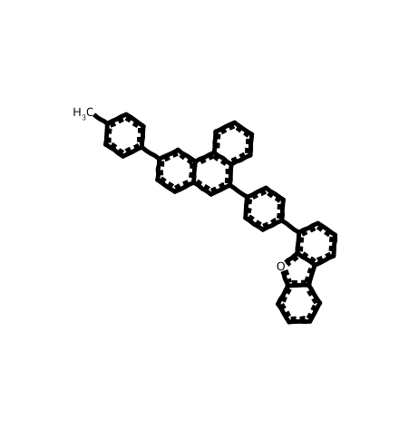 Cc1ccc(-c2ccc3cc(-c4ccc(-c5cccc6c5oc5ccccc56)cc4)c4ccccc4c3c2)cc1